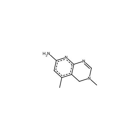 Cc1cc(N)nc2c1CN(C)C=N2